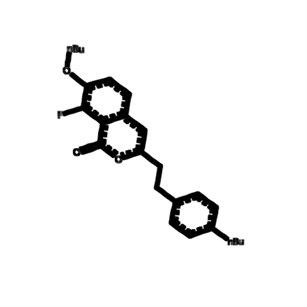 CCCCOc1ccc2cc(CCc3ccc(CCCC)cc3)oc(=O)c2c1F